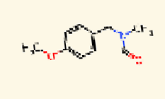 COc1ccc(CN(C)C=O)cc1